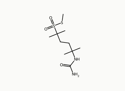 CSS(=O)(=O)C(C)(C)CCC(C)(C)NC(N)=O